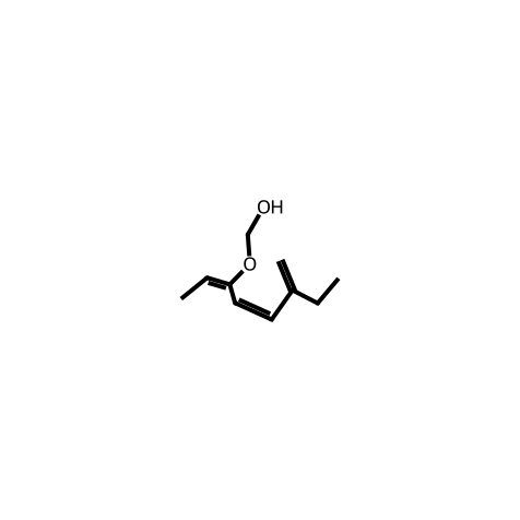 C=C(/C=C\C(=C/C)OCO)CC